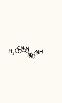 CC(C)Oc1ccc2ncc(-c3cc4n(n3)CCCC43CCNCC3)cc2c1